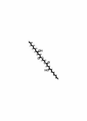 CCCCCCCC(O)CCC(=O)OCCOC(=O)CCC(O)CCCCCCC